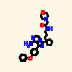 Nc1nccn2c(C3(CCCNC(=O)CN4CCOCC4)CCCC3)nc(-c3ccc(Oc4ccccc4)cc3)c12